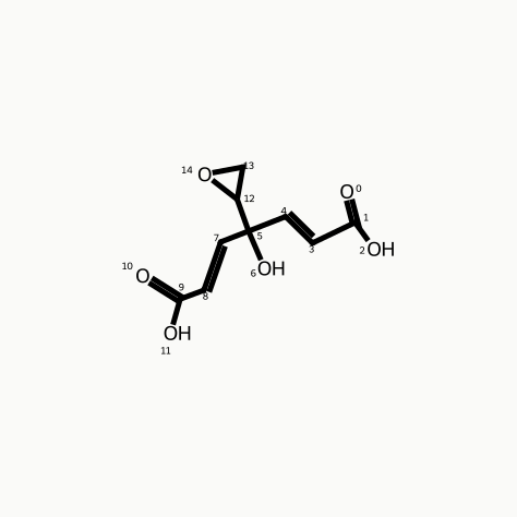 O=C(O)C=CC(O)(C=CC(=O)O)C1CO1